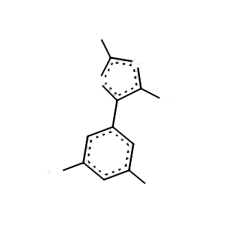 CC(=O)Oc1nc(C)sc1-c1cc(C)cc(C)c1